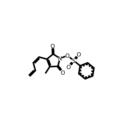 C=C/C=C\C1=C(C)C(=O)N(OS(=O)(=O)c2ccccc2)C1=O